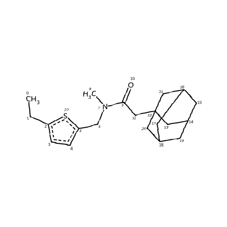 CCc1ccc(CN(C)C(=O)CC23CC4CC(CC(C4)C2)C3)s1